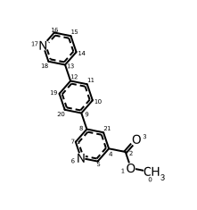 COC(=O)c1cncc(-c2ccc(-c3cccnc3)cc2)c1